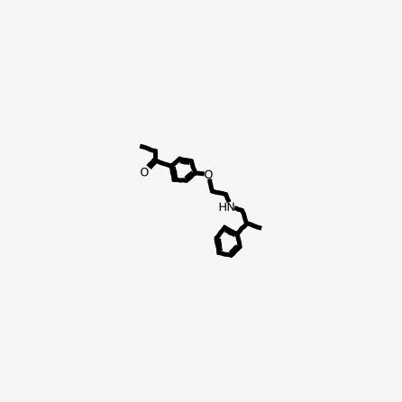 CCC(=O)c1ccc(OCCNCC(C)c2ccccc2)cc1